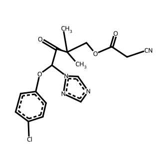 CC(C)(COC(=O)CC#N)C(=O)C(Oc1ccc(Cl)cc1)n1cncn1